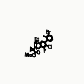 CCOc1cc(-c2cccc(Br)c2C)c(Cl)c(F)c1CNC1(C(=O)OC)CC1